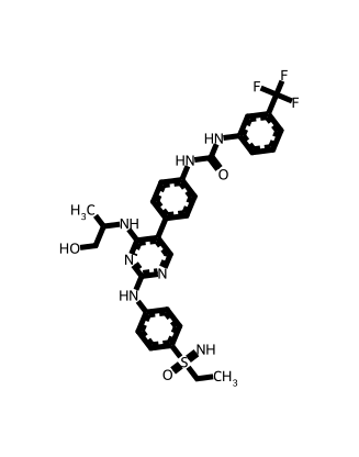 CCS(=N)(=O)c1ccc(Nc2ncc(-c3ccc(NC(=O)Nc4cccc(C(F)(F)F)c4)cc3)c(NC(C)CO)n2)cc1